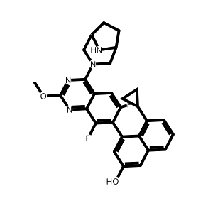 COc1nc(N2CC3CCC(C2)N3)c2cc(F)c(-c3cc(O)cc4cccc(C5CC5)c34)c(F)c2n1